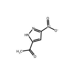 CC(=O)c1cc([N+](=O)[O-])n[nH]1